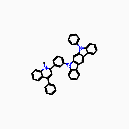 CN1c2ccccc2C(c2ccccc2)=CC1c1cccc(-n2c3ccccc3c3cc4c5ccccc5n(-c5ccccc5)c4cc32)c1